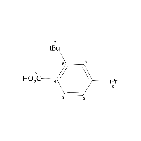 CC(C)c1ccc(C(=O)O)c(C(C)(C)C)c1